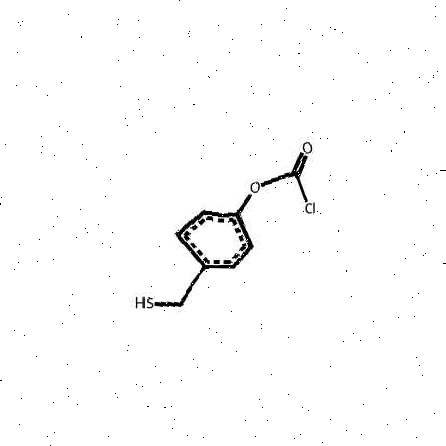 O=C(Cl)Oc1ccc(CS)cc1